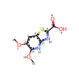 COc1cc2sc(C(=O)O)nc2nc1OC